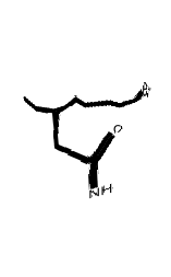 CC(CCBr)CC([NH])=O